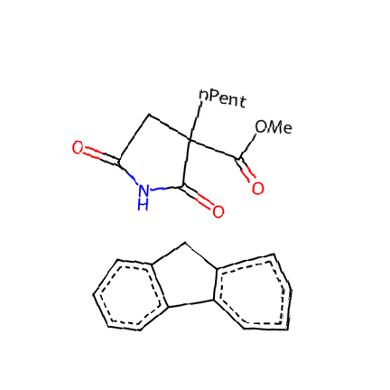 CCCCCC1(C(=O)OC)CC(=O)NC1=O.c1ccc2c(c1)Cc1ccccc1-2